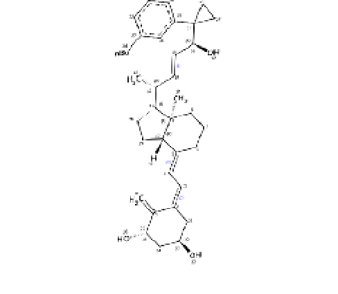 C=C1/C(=C\C=C2/CCC[C@]3(C)[C@@H]([C@H](C)/C=C/[C@H](O)C4(c5cccc(CCCC)c5)CC4)CC[C@@H]23)C[C@@H](O)C[C@@H]1O